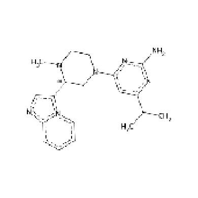 CC(C)c1cc(N2CCN(C)[C@@H](c3cnc4ccccn34)C2)nc(N)n1